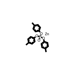 Cc1ccc(OP(=O)(Oc2ccc(C)cc2)Oc2ccc(C)cc2)cc1.[Zn]